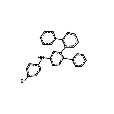 Brc1ccc(Nc2ccc(-c3ccccc3)c(-c3ccccc3-c3ccccc3)c2)cc1